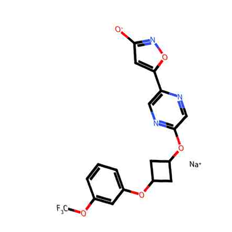 [Na+].[O-]c1cc(-c2cnc(OC3CC(Oc4cccc(OC(F)(F)F)c4)C3)cn2)on1